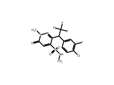 CNS(=O)(=O)c1cc(=O)n(C)nc1C(c1ccc(Cl)c(F)c1)C(F)(F)F